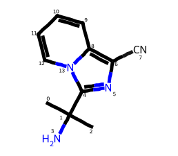 CC(C)(N)c1nc(C#N)c2ccccn12